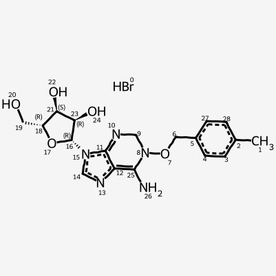 Br.Cc1ccc(CON2CN=c3c(ncn3[C@@H]3O[C@H](CO)[C@@H](O)[C@H]3O)=C2N)cc1